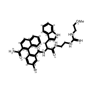 COCCNC(=N)NCCNC(=O)C(Cc1c[nH]c2ccccc12)NC(=O)c1cc(Br)ccc1-c1c(C(N)=O)ccc2ccccc12